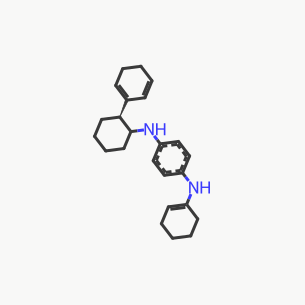 C1=CC([C@@H]2CCCCC2Nc2ccc(NC3=CCCCC3)cc2)=CCC1